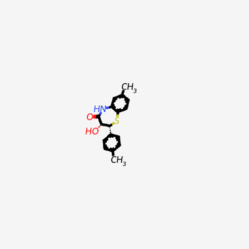 Cc1ccc([C@H]2Sc3ccc(C)cc3NC(=O)[C@H]2O)cc1